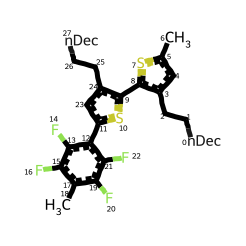 CCCCCCCCCCCCc1cc(C)sc1-c1sc(-c2c(F)c(F)c(C)c(F)c2F)cc1CCCCCCCCCCCC